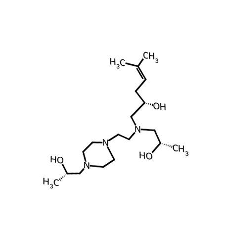 CC(C)=CC[C@H](O)CN(CCN1CCN(C[C@H](C)O)CC1)C[C@H](C)O